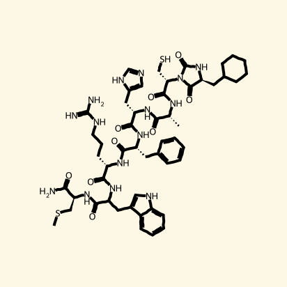 CSC[C@H](NC(=O)C(Cc1c[nH]c2ccccc12)NC(=O)[C@H](CCCNC(=N)N)NC(=O)[C@@H](Cc1ccccc1)NC(=O)[C@H](Cc1cnc[nH]1)NC(=O)[C@@H](C)NC(=O)[C@H](CS)N1C(=O)N[C@@H](CC2CCCCC2)C1=O)C(N)=O